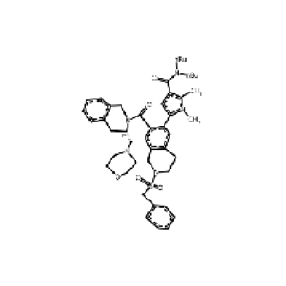 CCCCN(CCCC)C(=O)c1cc(-c2cc3c(cc2C(=O)N2Cc4ccccc4C[C@H]2CN2CCOCC2)CN(S(=O)(=O)Cc2ccccc2)CC3)n(C)c1C